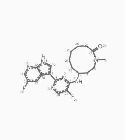 CN1CC[C@@H](Nc2nc(-c3c[nH]c4ncc(F)cc34)ncc2F)CCCCCC1=O